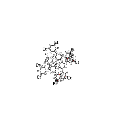 CCc1cc(CC)cc(-c2cc(-c3cc(CC)cc(CC)c3)cc([Si](C3=C(C)C(C)=C(C)C3C)(c3cc(-c4cc(CC)cc(CC)c4)cc(-c4cc(CC)cc(CC)c4)c3)c3cc(-c4cc(CC)cc(CC)c4)cc(-c4cc(CC)cc(CC)c4)c3)c2)c1